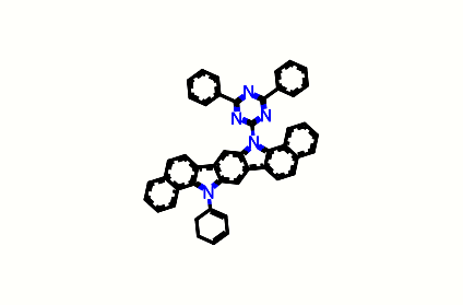 C1=CCCC(n2c3cc4c5ccc6ccccc6c5n(-c5nc(-c6ccccc6)nc(-c6ccccc6)n5)c4cc3c3ccc4ccccc4c32)=C1